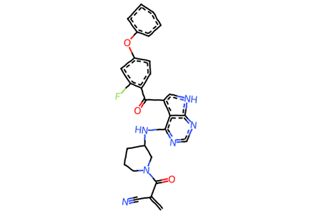 C=C(C#N)C(=O)N1CCCC(Nc2ncnc3[nH]cc(C(=O)c4ccc(Oc5ccccc5)cc4F)c23)C1